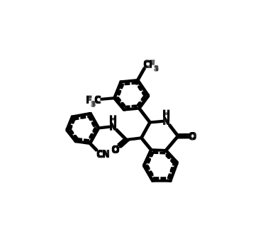 N#Cc1ccccc1NC(=O)C1c2ccccc2C(=O)NC1c1cc(C(F)(F)F)cc(C(F)(F)F)c1